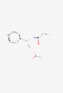 CCC(=O)N[C@@H](COC(C)=O)c1ccccc1